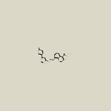 CNC(=O)c1ccnc2c(CCNc3cc(-c4ccc(C)nc4)ncn3)cccc12